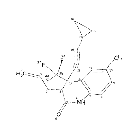 C=CCC1C(=O)Nc2ccc(Cl)cc2C1(C#CC1CC1)C(F)(F)F